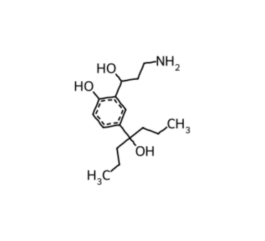 CCCC(O)(CCC)c1ccc(O)c(C(O)CCN)c1